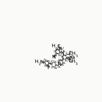 Cc1cc2c(N3CCN(C)c4ccc(C#N)cc43)cc(C3CCN(CC4CCC(c5ccc(N)cc5F)CC4)CC3)cc2n(C)c1=O